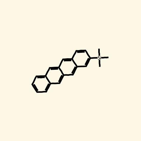 C[Si](C)(C)c1ccc2cc3cc4ccccc4cc3cc2c1